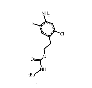 CC(C)(C)NC(=O)OCCc1cc(I)c(N)cc1Cl